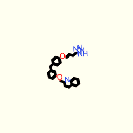 C(=COc1ccc(Cc2cccc(OCc3ccc4ccccc4n3)c2)cc1)Cc1nnn[nH]1